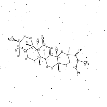 CCON(C(=O)[C@@]1(C)CC[C@]2(C)CC[C@]3(C)C(=CC(=O)[C@@H]4[C@@]5(C)CC[C@H](OC(C)=O)C(C)(C)C5CC[C@]43C)[C@@H]2C1)C(F)(F)F